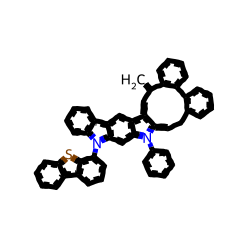 C=C1/C=c2\c(n(-c3ccccc3)c3cc4c(cc23)c2ccccc2n4-c2cccc3c2sc2ccccc23)=C/Cc2ccccc2-c2ccccc21